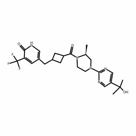 C[C@H]1CN(c2ncc(C(C)(C)O)cn2)CCN1C(=O)C1CC(Cc2c[nH]c(=O)c(C(F)(F)F)c2)C1